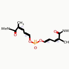 CNC(=O)/C(C)=C\C=C\O[PH](=O)O/C=C/C=C(/C)C(=O)NC